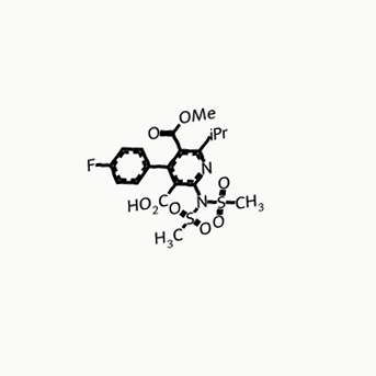 COC(=O)c1c(C(C)C)nc(N(S(C)(=O)=O)S(C)(=O)=O)c(C(=O)O)c1-c1ccc(F)cc1